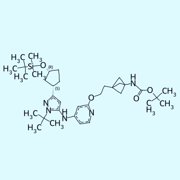 CC(C)(C)OC(=O)NC12CC(CCOc3cc(Nc4cc([C@H]5CC[C@@H](O[Si](C)(C)C(C)(C)C)C5)nn4C(C)(C)C)ccn3)(C1)C2